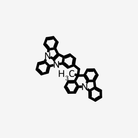 CC1(Cc2ccc3c4c5ccccc5n5c6ccccc6n(c3c2)c45)c2ccccc2-n2c3ccccc3c3cccc1c32